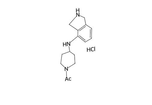 CC(=O)N1CCC(Nc2cccc3c2CNC3)CC1.Cl